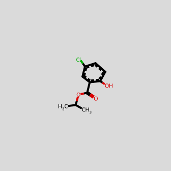 CC(C)OC(=O)c1cc(Cl)ccc1O